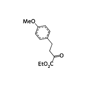 CCOC(=O)C(=O)CCc1ccc(OC)cc1